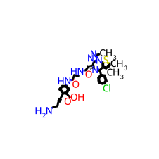 Cc1sc2c(c1C)C(c1ccc(Cl)cc1)=N[C@@H](CC(=O)NCCC(=O)Nc1ccc(C#CCCN)c(C(=O)O)c1)c1nnc(C)n1-2